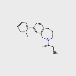 C=C(CC(C)(C)C)N1CCCc2ccc(-c3ccccc3C)cc2C1